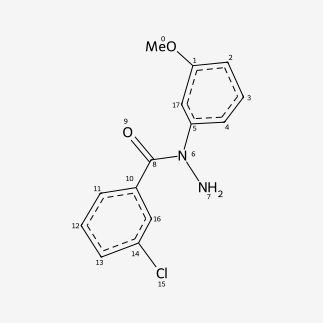 COc1cccc(N(N)C(=O)c2cccc(Cl)c2)c1